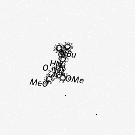 COc1ccc(CN(Cc2ccc(OC)cc2)c2ncnc(NC3CCCC(O[Si](c4ccccc4)(c4ccccc4)C(C)(C)C)C3)c2[N+](=O)[O-])cc1